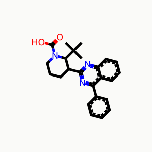 CC(C)(C)C1C(c2nc(-c3ccccc3)c3ccccc3n2)CCCN1C(=O)O